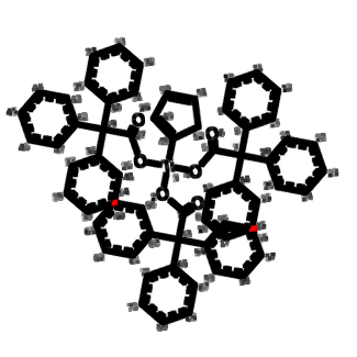 O=C([O][Ti]([O]C(=O)C(c1ccccc1)(c1ccccc1)c1ccccc1)([O]C(=O)C(c1ccccc1)(c1ccccc1)c1ccccc1)[C]1=CC=CC1)C(c1ccccc1)(c1ccccc1)c1ccccc1